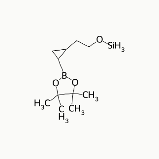 CC1(C)OB(C2CC2CCO[SiH3])OC1(C)C